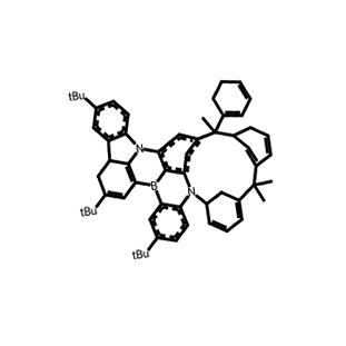 CC(C)(C)C1=CC2=C3C(C1)c1cc(C(C)(C)C)ccc1N3c1cc3cc4c1B2c1cc(C(C)(C)C)ccc1N4C1C=CC=C(C1)C(C)(C)C1=CC(CC=C1)C3(C)C1=CC=CCC1